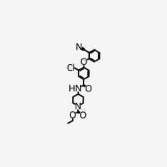 CCOC(=O)N1CCC(NC(=O)c2ccc(Oc3ccccc3C#N)c(Cl)c2)CC1